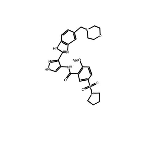 COc1ccc(S(=O)(=O)N2CCCC2)cc1C(=O)Nc1c[nH]nc1-c1nc2cc(CN3CCOCC3)ccc2[nH]1